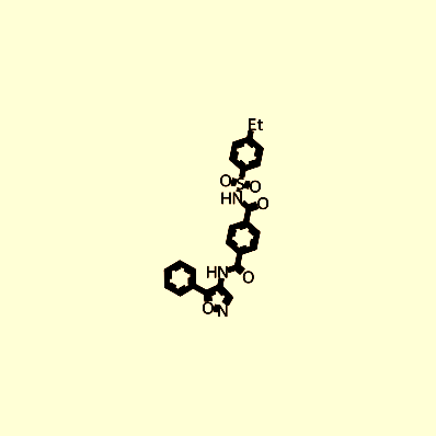 CCc1ccc(S(=O)(=O)NC(=O)c2ccc(C(=O)Nc3cnoc3-c3ccccc3)cc2)cc1